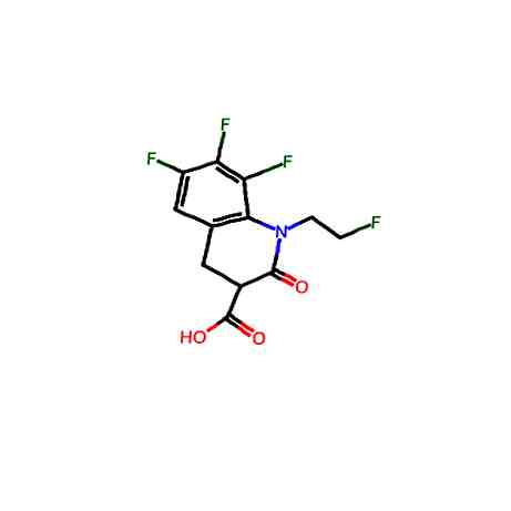 O=C(O)C1Cc2cc(F)c(F)c(F)c2N(CCF)C1=O